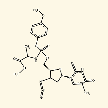 COC(=O)C(C)NP(=O)(OC[C@H]1O[C@@H](n2cc(C)c(=O)[nH]c2=O)CC1N=[N+]=[N-])Oc1ccc(OC)cc1